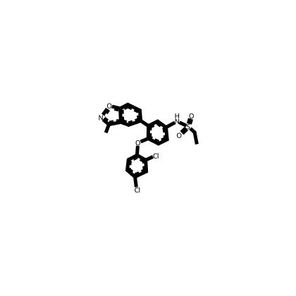 CCS(=O)(=O)Nc1ccc(Oc2ccc(Cl)cc2Cl)c(-c2ccc3onc(C)c3c2)c1